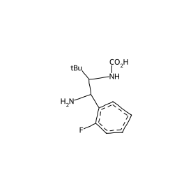 CC(C)(C)C(NC(=O)O)C(N)c1ccccc1F